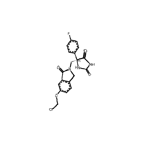 O=C1NC(=O)[C@](CN2Cc3ccc(OCCl)cc3C2=O)(c2ccc(F)cc2)N1